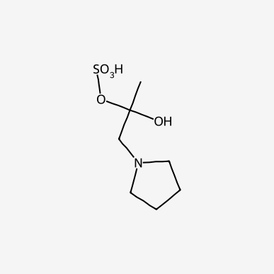 CC(O)(CN1CCCC1)OS(=O)(=O)O